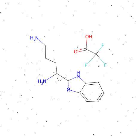 NCCCC(N)c1nc2ccccc2[nH]1.O=C(O)C(F)(F)F